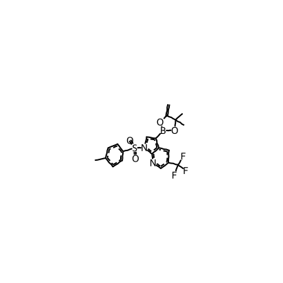 C=C1OB(c2cn(S(=O)(=O)c3ccc(C)cc3)c3ncc(C(F)(F)F)cc23)OC1(C)C